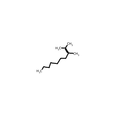 CCCCCCCC(C)=C(C)C